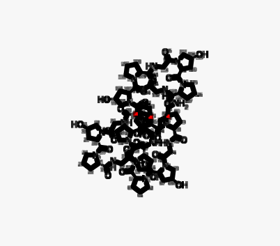 NCCCC[C@H](NC(=O)[C@@H]1C[C@@H](O)CN1C(=O)CNC(=O)[C@@H]1CCCN1C(=O)[C@@H]1C[C@@H](O)CN1C(=O)CNC(=O)[C@@H]1CCCN1C(=O)[C@@H]1C[C@@H](O)CN1C(=O)CNC(=O)[C@@H]1CCCN1C(=O)[C@@H]1C[C@@H](O)CN1C(=O)CNC(=O)[C@@H]1CCCN1C(=O)[C@@H]1C[C@@H](O)CN1)C(=O)NCC(=O)N1C[C@H](O)C[C@H]1C(=O)N1CCC[C@H]1C(=O)NCC(=O)N1C[C@H](O)C[C@H]1C(=O)N1CCC[C@H]1C(=O)NCC(=O)O